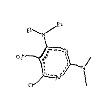 CCN(CC)c1nc(N(C)C)nc(Cl)c1[N+](=O)[O-]